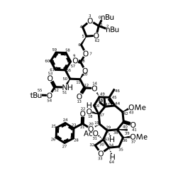 CCCCC1(CCCC)OC[C@H](COC(=O)O[C@@H](C(=O)O[C@H]2C[C@@]3(O)[C@@H](OC(=O)c4ccccc4)[C@@H]4[C@]5(OC(C)=O)CO[C@@H]5C[C@H](OC)[C@@]4(C)C(=O)[C@H](OC)C(=C2C)C3(C)C)[C@@H](NC(=O)OC(C)(C)C)c2ccccc2)O1